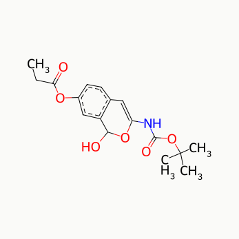 CCC(=O)Oc1ccc2c(c1)C(O)OC(NC(=O)OC(C)(C)C)=C2